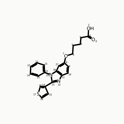 O=C(O)CCCCOc1ccc2nc(-c3ccsc3)n(-c3ccccc3)c2c1